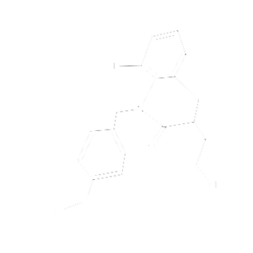 COc1ccc(CN2C(=O)C(CCCl)Cc3cccc(F)c32)cc1